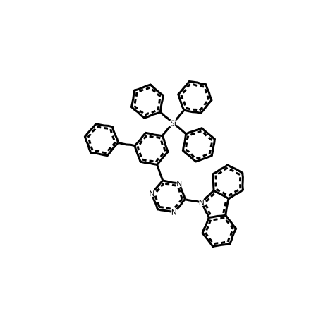 c1ccc(-c2cc(-c3ncnc(-n4c5ccccc5c5ccccc54)n3)cc([Si](c3ccccc3)(c3ccccc3)c3ccccc3)c2)cc1